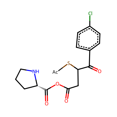 CC(=O)SC(CC(=O)OC(=O)[C@@H]1CCCN1)C(=O)c1ccc(Cl)cc1